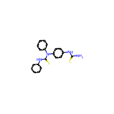 NC(=S)Nc1ccc(N(C(=S)Nc2ccccc2)c2ccccc2)cc1